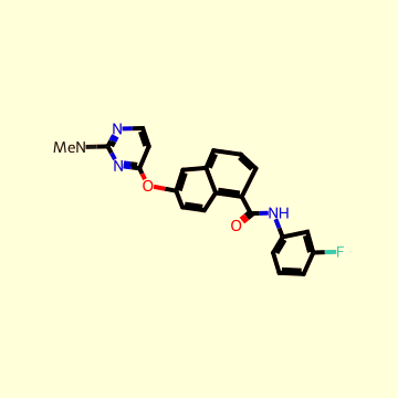 CNc1nccc(Oc2ccc3c(C(=O)Nc4cccc(F)c4)cccc3c2)n1